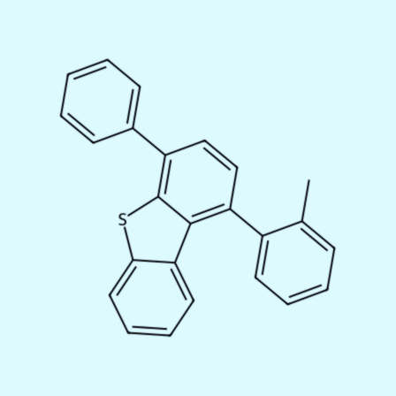 Cc1ccccc1-c1ccc(-c2ccccc2)c2sc3ccccc3c12